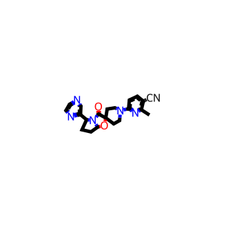 Cc1nc(N2CCC3(CC2)OC2CCC(c4cnccn4)N2C3=O)ccc1C#N